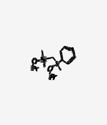 CC(C)O[Si](C)(C)C[Si](C)(OC(C)C)c1ccccc1